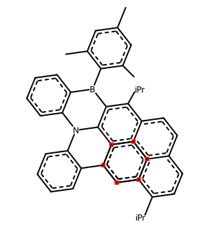 Cc1cc(C)c(B2c3ccccc3N(c3ccccc3-c3ccccc3)c3c2c(C(C)C)c2ccc4ccc(C(C)C)c5ccc3c2c45)c(C)c1